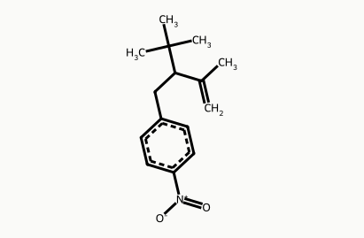 C=C(C)C(Cc1ccc([N+](=O)[O-])cc1)C(C)(C)C